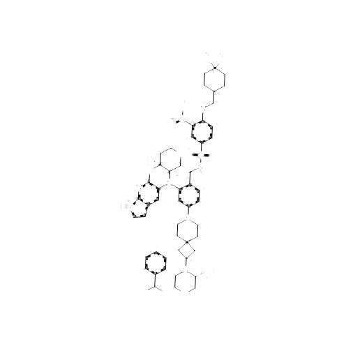 CC(C)c1ccccc1[C@H]1COC[C@H](C)N1C1CC2(CCN(c3ccc(C(=O)NS(=O)(=O)c4ccc(NCC5CCC(C)(O)CC5)c([N+](=O)[O-])c4)c(N4c5cc6cc[nH]c6nc5O[C@@H]5CCOC[C@H]54)c3)CC2)C1